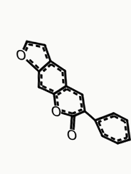 O=c1oc2cc3occc3cc2cc1-c1ccccc1